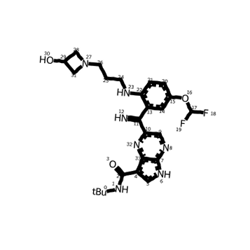 CC(C)(C)NC(=O)c1c[nH]c2ncc(C(=N)c3cc(OC(F)F)ccc3NCCCN3CC(O)C3)nc12